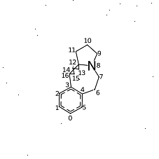 c1ccc2c(c1)CCN1CCCC13CCCC23